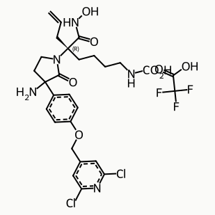 C=CC[C@](CCCCNC(=O)O)(C(=O)NO)N1CCC(N)(c2ccc(OCc3cc(Cl)nc(Cl)c3)cc2)C1=O.O=C(O)C(F)(F)F